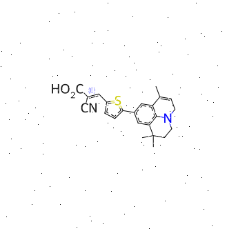 CC1=CCN2CCC(C)(C)c3cc(-c4ccc(/C=C(\C#N)C(=O)O)s4)cc1c32